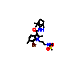 Cc1ccc2c(C(=O)NC3C4(C)CCC(C4)C3(C)C)c(C)n(CCCNS(C)(=O)=O)c2c1Br